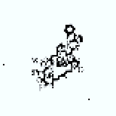 CC[C@H](C)[C@@H]([C@@H](CC(=O)N1CCC[C@H]1[C@H](OC)[C@@H](C)C(=S)N[C@@H](Cc1ccccc1)c1nccs1)OC)N(C)C(=O)[C@@H](NC(=O)[C@H](C(C)C)N(C)C(=O)CCCCCN1C(=O)C=CC1=O)C(C)C